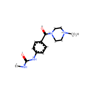 CCNC(=O)Nc1ccc(C(=O)N2CCN(C(=O)O)CC2)cc1